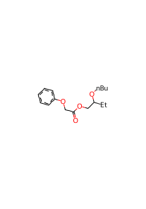 CCCCOC(CC)COC(=O)COc1ccccc1